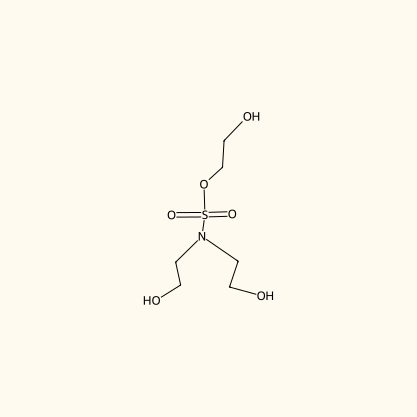 O=S(=O)(OCCO)N(CCO)CCO